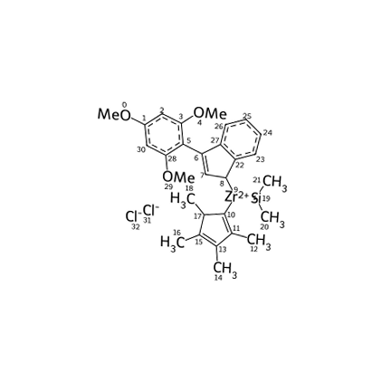 COc1cc(OC)c(C2=C[CH]([Zr+2]([C]3=C(C)C(C)=C(C)C3C)=[Si](C)C)c3ccccc32)c(OC)c1.[Cl-].[Cl-]